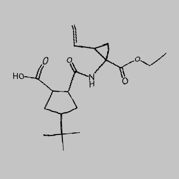 C=CC1CC1(NC(=O)C1CC(C(C)(C)C)CC1C(=O)O)C(=O)OCC